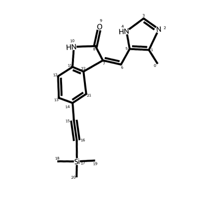 Cc1nc[nH]c1C=C1C(=O)Nc2ccc(C#C[Si](C)(C)C)cc21